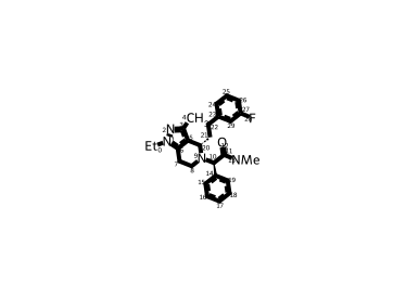 CCn1nc(C)c2c1CCN([C@@H](C(=O)NC)c1ccccc1)[C@H]2CCc1cccc(F)c1